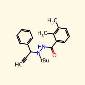 C#CC(c1ccccc1)N(NC(=O)c1cccc(C)c1C)C(C)(C)C